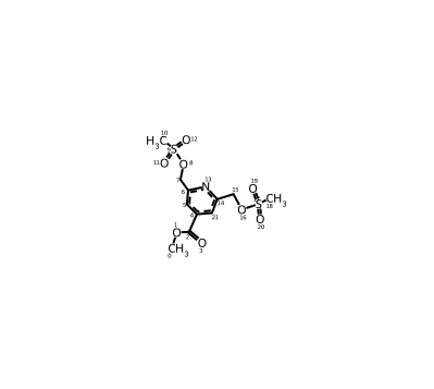 COC(=O)c1cc(COS(C)(=O)=O)nc(COS(C)(=O)=O)c1